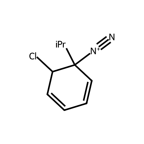 CC(C)C1([N+]#N)C=CC=CC1Cl